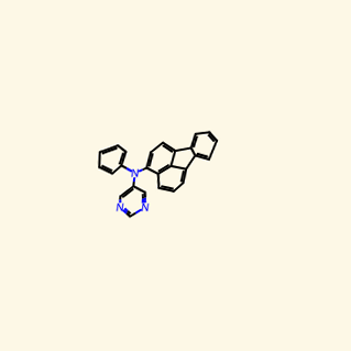 c1ccc(N(c2cncnc2)c2ccc3c4c(cccc24)-c2ccccc2-3)cc1